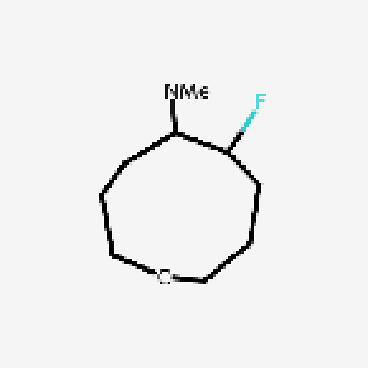 CNC1CCCCCCCC1F